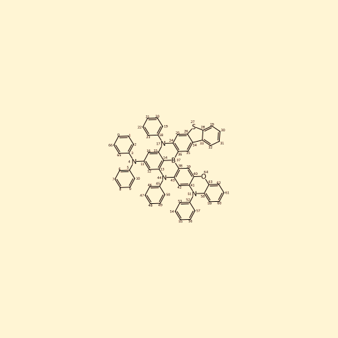 c1ccc(N(c2ccccc2)c2cc3c4c(c2)N(c2ccccc2)c2cc5sc6ccccc6c5cc2B4c2cc4c(cc2N3c2ccccc2)N(c2ccccc2)c2ccccc2O4)cc1